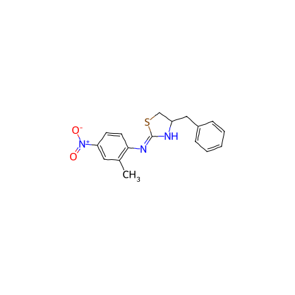 Cc1cc([N+](=O)[O-])ccc1/N=C1/NC(Cc2ccccc2)CS1